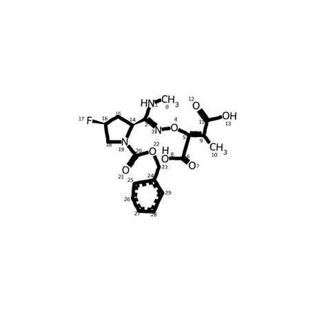 CNC(=NOC(C(=O)O)=C(C)C(=O)O)[C@@H]1C[C@H](F)CN1C(=O)OCc1ccccc1